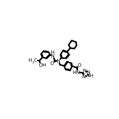 CC(O)c1cccc(NC(=O)N(Cc2ccc(C(=O)Nc3nn[nH]n3)cc2)c2ccc(C3CCCCC3)cc2)c1